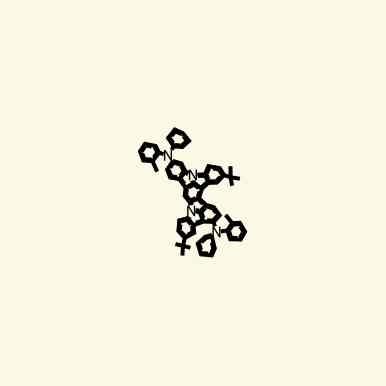 Cc1ccccc1N(c1ccccc1)c1ccc2c3cc4c(c5ccc(N(c6ccccc6)c6ccccc6C)c6c7cc(C(C)(C)C)ccc7n4c56)c4c5cc(C(C)(C)C)ccc5n(c2c1)c34